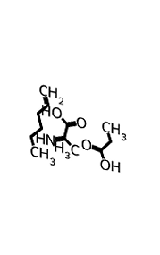 C=CCCCC.CC(=N)C(=O)O.CCC(=O)O